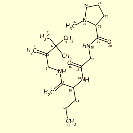 C=C(NCC(=C)C(C)(C)C)C(CCC)NC(=O)CNC(=O)C1CCCN1C